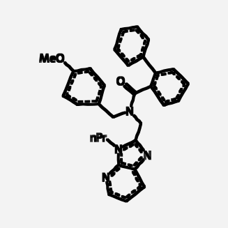 CCCn1c(CN(Cc2ccc(OC)cc2)C(=O)c2ccccc2-c2ccccc2)nc2cccnc21